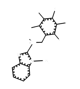 Cn1c([S@@+]([O-])Cc2c(F)c(F)c(F)c(F)c2F)nc2ccccc21